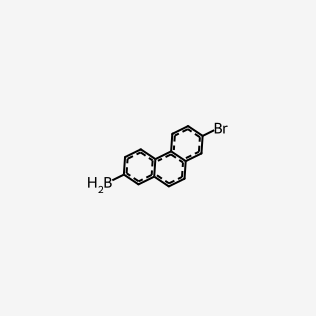 Bc1ccc2c(ccc3cc(Br)ccc32)c1